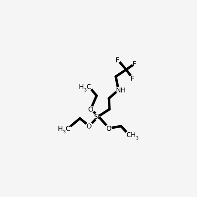 CCO[Si](CCNCC(F)(F)F)(OCC)OCC